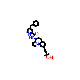 CC(C)(O)C#Cc1ccc2c(c1)-n1cccc1C(NC(=O)c1cc(Cc3ccccc3)ccn1)CC2